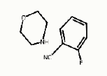 C1COCCN1.N#Cc1ccccc1F